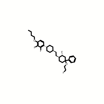 CCCCOc1ccc([C@H]2CC[C@H](CC[C@@H]3CCC(OCCF)(c4ccccc4)C[C@H]3F)CC2)c(F)c1F